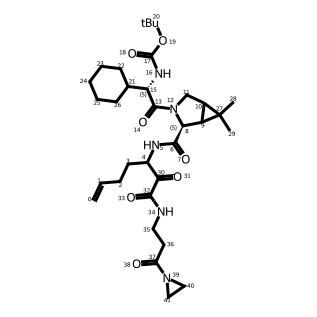 C=CCCC(NC(=O)[C@@H]1C2C(CN1C(=O)[C@@H](NC(=O)OC(C)(C)C)C1CCCCC1)C2(C)C)C(=O)C(=O)NCCC(=O)N1CC1